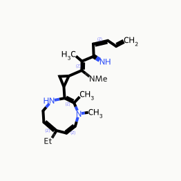 C=C/C=C\C(=N)/C(C)=C(\NC)C1CC1/C1=C(\C)N(C)/C=C\C(CC)=C/CN1